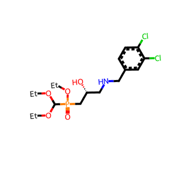 CCOC(OCC)P(=O)(C[C@H](O)CNCc1ccc(Cl)c(Cl)c1)OCC